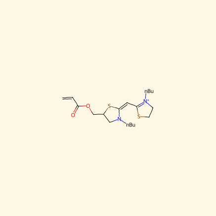 C=CC(=O)OCC1CN(CCCC)C(=CC2=[N+](CCCC)CCS2)S1